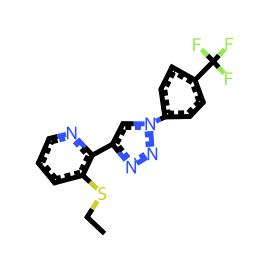 CCSc1cccnc1-c1cn(-c2ccc(C(F)(F)F)cc2)nn1